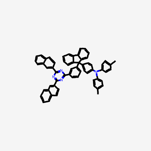 Cc1ccc(N(c2ccc(C)cc2)c2ccc(C3(c4cccc(-c5nc(-c6ccc7ccccc7c6)nc(-c6ccc7ccccc7c6)n5)c4)c4ccccc4-c4ccccc43)cc2)cc1